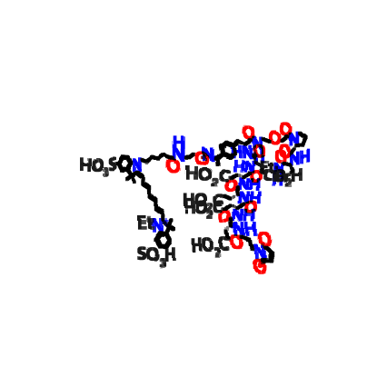 CCNC(=O)[C@H](CC(C)C)NC(=O)[C@@H]1CCCN1C(=O)COCCNC(=O)[C@H](Cc1ccc(/C(C)=N/OCCNC(=O)CCCCCN2/C(=C/C=C/C=C/C=C/C3=[N+](CC)c4ccc(S(=O)(=O)O)cc4C3(C)C)C(C)(C)c3cc(S(=O)(=O)O)ccc32)cc1)NC(=O)[C@@H](CCC(=O)O)NC(=O)[C@@H](CCC(=O)O)NC(=O)[C@@H](CCC(=O)O)NC(=O)[C@@H](CCC(=O)O)NC(=O)[C@@H](CCC(=O)O)NC(=O)CCN1C(=O)C=CC1=O